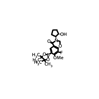 COc1c(B2OC(C)(C)C(C)(C)O2)cc2c(c1F)OCN([C@H]1CCC[C@@H]1O)C2=O